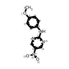 COc1ccc(Nc2ncc([N+](=O)[O-])cn2)cc1